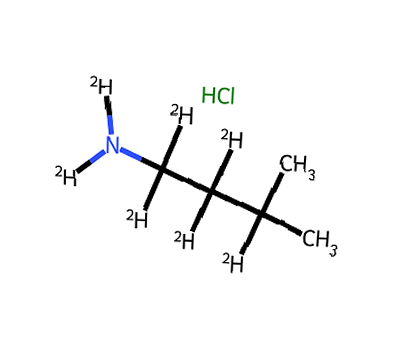 Cl.[2H]N([2H])C([2H])([2H])C([2H])([2H])C([2H])(C)C